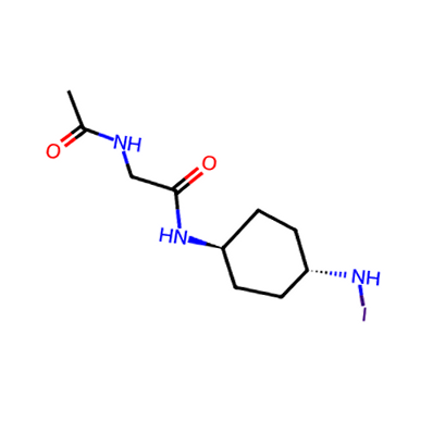 CC(=O)NCC(=O)N[C@H]1CC[C@H](NI)CC1